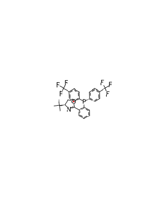 CC(C)(C)[C@H]1COC(c2ccccc2P(c2ccc(C(F)(F)F)cc2)c2ccc(C(F)(F)F)cc2)=N1